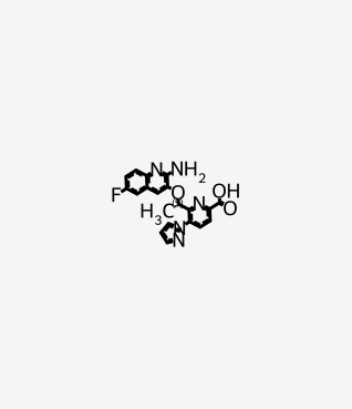 C[C@H](Oc1cc2cc(F)ccc2nc1N)c1nc(C(=O)O)ccc1-n1cccn1